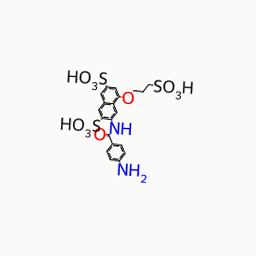 Nc1ccc(C(=O)Nc2cc3c(OCCCS(=O)(=O)O)cc(S(=O)(=O)O)cc3cc2S(=O)(=O)O)cc1